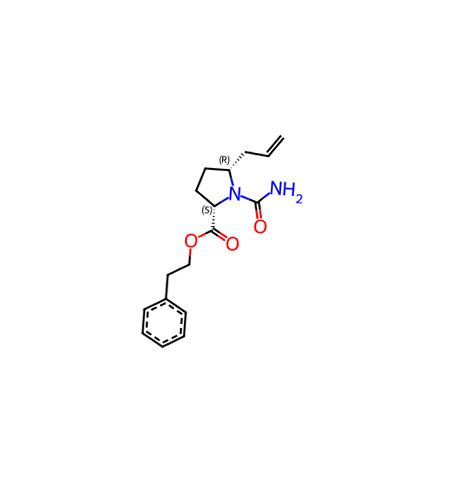 C=CC[C@H]1CC[C@@H](C(=O)OCCc2ccccc2)N1C(N)=O